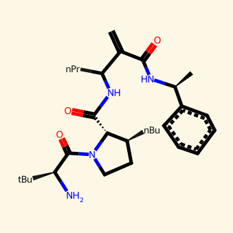 C=C(C(=O)N[C@@H](C)c1ccccc1)C(CCC)NC(=O)[C@@H]1[C@@H](CCCC)CCN1C(=O)[C@@H](N)C(C)(C)C